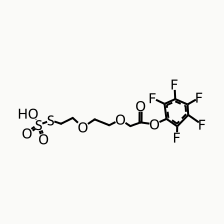 O=C(COCCOCCSS(=O)(=O)O)Oc1c(F)c(F)c(F)c(F)c1F